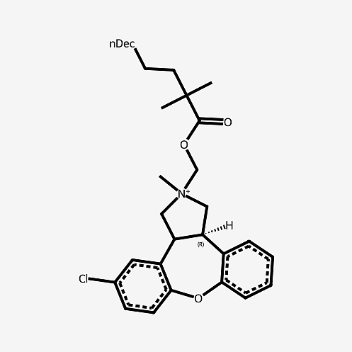 CCCCCCCCCCCCC(C)(C)C(=O)OC[N+]1(C)CC2c3cc(Cl)ccc3Oc3ccccc3[C@@H]2C1